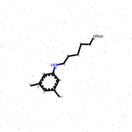 CCCCCCCCCCCCCCNc1cc(C)cc(C)c1